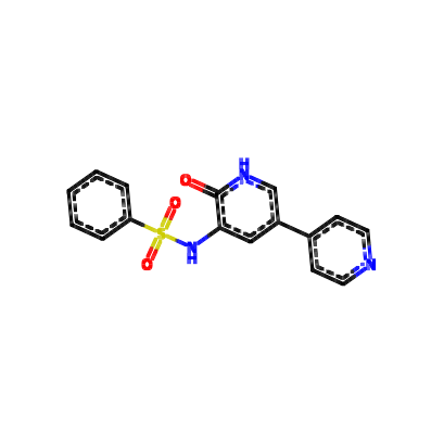 O=c1[nH]cc(-c2ccncc2)cc1NS(=O)(=O)c1ccccc1